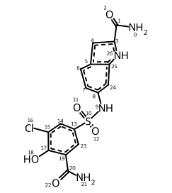 NC(=O)c1cc2ccc(NS(=O)(=O)c3cc(Cl)c(O)c(C(N)=O)c3)cc2[nH]1